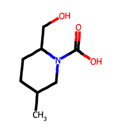 CC1CCC(CO)N(C(=O)O)C1